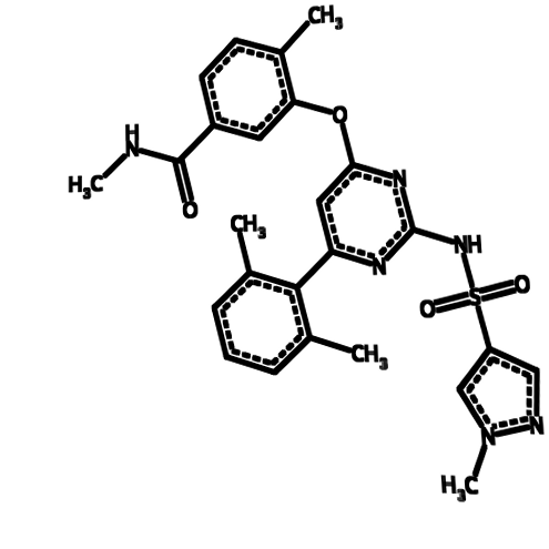 CNC(=O)c1ccc(C)c(Oc2cc(-c3c(C)cccc3C)nc(NS(=O)(=O)c3cnn(C)c3)n2)c1